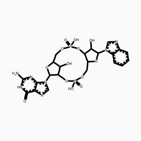 Nc1nc2c(ncn2C2OC3COP(=O)(O)OC4C(COP(=O)(O)OC2C3O)OC(n2cnc3ccccc32)C4O)c(=O)[nH]1